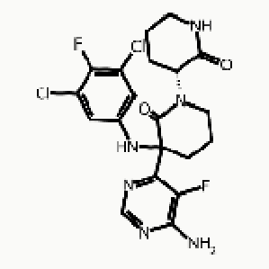 Nc1ncnc(C2(Nc3cc(Cl)c(F)c(Cl)c3)CCCN([C@@H]3CCCNC3=O)C2=O)c1F